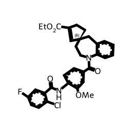 CCOC(=O)C1=C[C@@]2(CC1)CCN(C(=O)c1ccc(NC(=O)c3cc(F)ccc3Cl)c(OC)c1)c1ccccc1C2